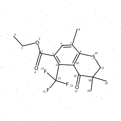 CCOC(=O)c1cc(C)c2c(c1C(F)(F)F)C(=O)C(C)(C)CS2